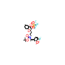 COc1cc([C@@H](C)N(CCCC2C=C(OS(=O)(=O)C(F)(F)F)c3ccccc3O2)C(=O)OC(C)(C)C)ccc1F